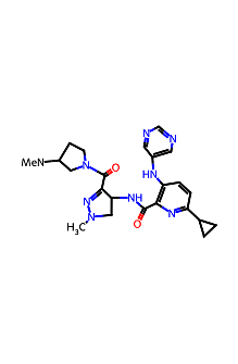 CNC1CCN(C(=O)C2=NN(C)CC2NC(=O)c2nc(C3CC3)ccc2Nc2cncnc2)C1